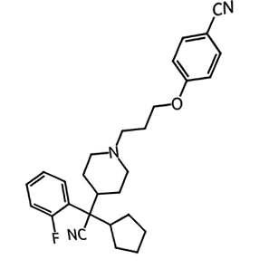 N#Cc1ccc(OCCCN2CCC(C(C#N)(c3ccccc3F)C3CCCC3)CC2)cc1